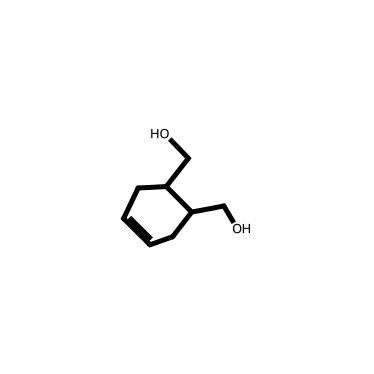 OCC1CC=CCC1CO